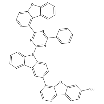 CCCCc1ccc2c(c1)oc1c(-c3ccc4c(c3)c3ccccc3n4-c3nc(-c4ccccc4)nc(-c4cccc5oc6ccccc6c45)n3)cccc12